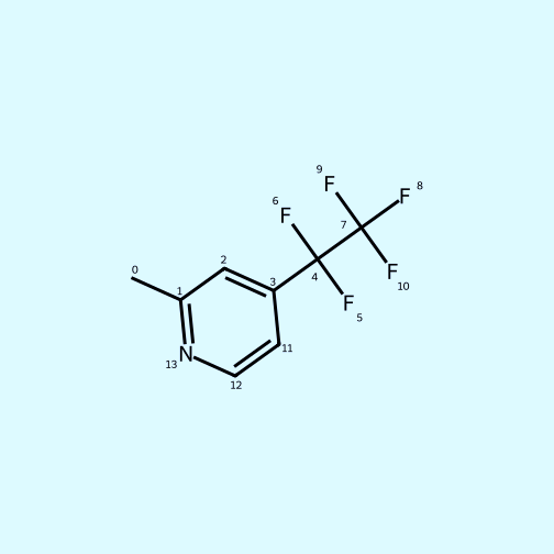 Cc1cc(C(F)(F)C(F)(F)F)ccn1